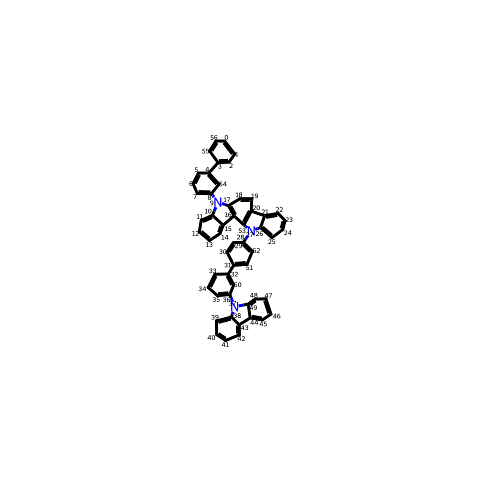 c1ccc(-c2cccc(-n3c4ccccc4c4c3ccc3c5ccccc5n(-c5ccc(-c6cccc(-n7c8ccccc8c8ccccc87)c6)cc5)c34)c2)cc1